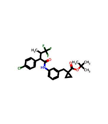 CC(C(C(=O)Nc1cccc(CC2(C(=O)OC(C)(C)C)CC2)c1)c1ccc(Cl)cc1)C(F)(F)F